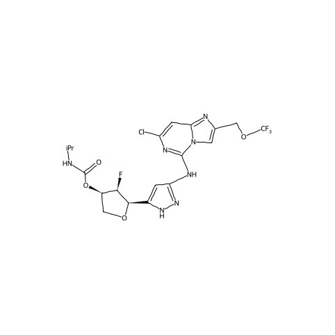 CC(C)NC(=O)O[C@@H]1CO[C@H](c2cc(Nc3nc(Cl)cc4nc(COC(F)(F)F)cn34)n[nH]2)[C@@H]1F